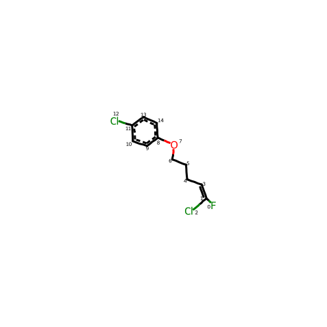 FC(Cl)=CCCCOc1ccc(Cl)cc1